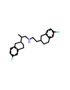 CC(CNCCC1CCc2cc(F)ccc2C1)C1CCc2cc(F)ccc2C1